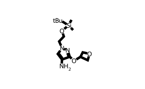 CC(C)(C)[Si](C)(C)OCCn1cc(N)c(OC2COC2)n1